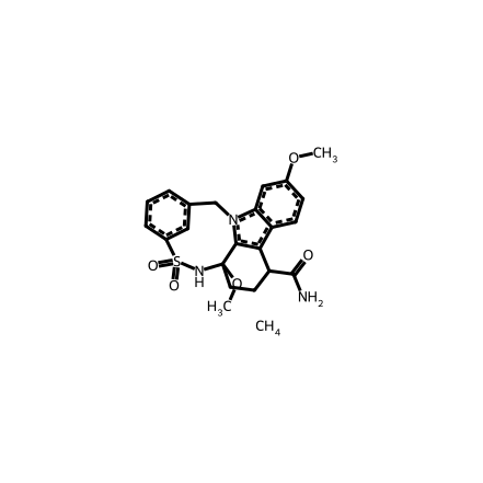 C.COc1ccc2c3c4n(c2c1)Cc1cccc(c1)S(=O)(=O)NC4(OC)CCC3C(N)=O